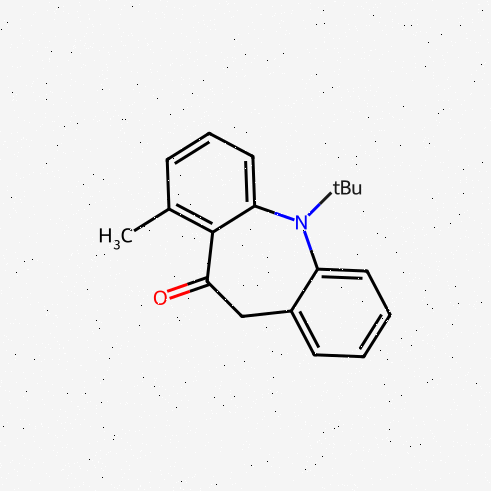 Cc1cccc2c1C(=O)Cc1ccccc1N2C(C)(C)C